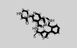 CNCc1ccccc1-c1csc([C@@H](C)Nc2nncc3cnc(N4CCNCC4=O)cc23)c1